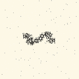 COC(=O)NC(C(=O)N1CCC[C@H]1c1nc(-c2ccc3cc(-c4ccc(-c5cnc([C@@H]6CCCN6C(=O)[C@@H](NC(=O)OC)C(C)C)[nH]5)cn4)ccc3c2)c[nH]1)C(C)C